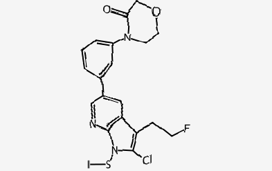 O=C1COCCN1c1cccc(-c2cnc3c(c2)c(CCF)c(Cl)n3SI)c1